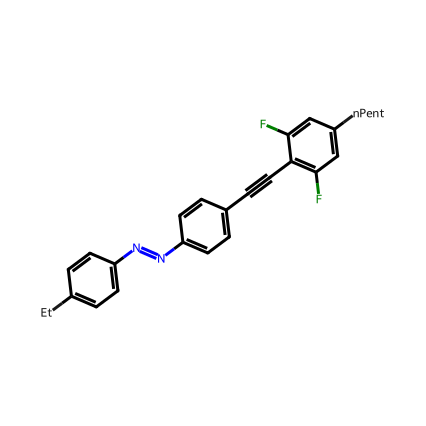 CCCCCc1cc(F)c(C#Cc2ccc(N=Nc3ccc(CC)cc3)cc2)c(F)c1